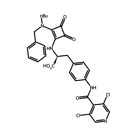 CCCCN(Cc1ccccc1)c1c(N[C@@H](Cc2ccc(NC(=O)c3c(Cl)cncc3Cl)cc2)C(=O)O)c(=O)c1=O